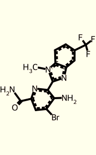 Cn1c(-c2nc(C(N)=O)cc(Br)c2N)nc2cc(C(F)(F)F)ccc21